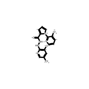 O=C(NNc1ncc(C(F)(F)F)cc1Cl)c1cccn1-c1ncccc1C(F)(F)F